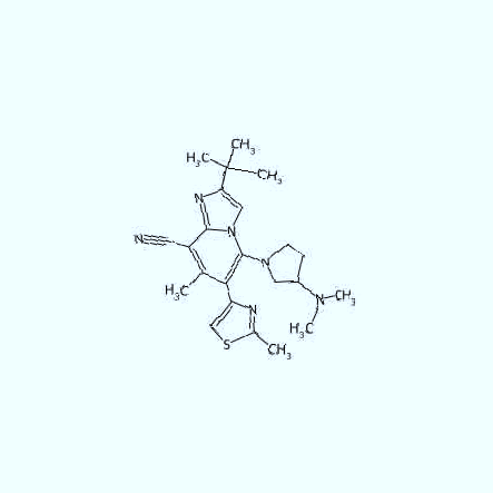 Cc1nc(-c2c(C)c(C#N)c3nc(C(C)(C)C)cn3c2N2CCC(N(C)C)C2)cs1